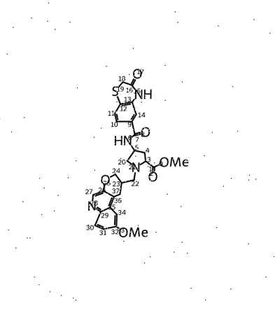 COC(=O)C1CC(NC(=O)c2ccc3c(c2)NC(=O)CS3)CN1CC1COc2cnc3ccc(OC)cc3c2C1